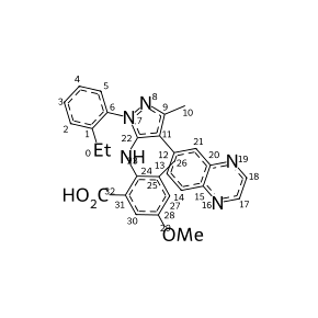 CCc1ccccc1-n1nc(C)c(-c2ccc3nccnc3c2)c1Nc1c(C)cc(OC)cc1C(=O)O